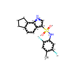 N#Cc1cc(F)c(NS(=O)(=O)c2c[nH]c3c4c(ccc23)CCC4)cc1F